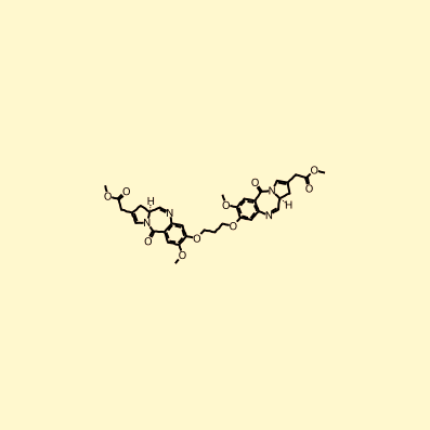 COC(=O)CC1=CN2C(=O)c3cc(OC)c(OCCCOc4cc5c(cc4OC)C(=O)N4C=C(CC(=O)OC)C[C@H]4C=N5)cc3N=C[C@@H]2C1